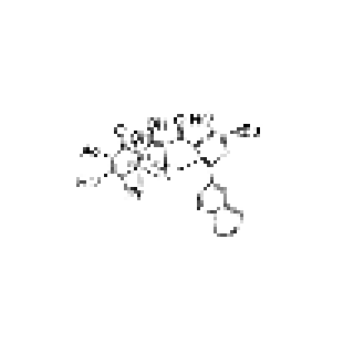 CC(=O)C1=C(O)C(C(C)C)[C@@]2(C)C[C@@]3(C)Cc4c(-c5ccc6ccccc6c5)cc(C(C)(C)C)c(O)c4C(=O)C3=C(O)[C@@]2(O)C1=O